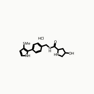 CSc1cc[nH]c1-c1ccc(CNC(=O)C2CC(O)CN2)cc1.Cl